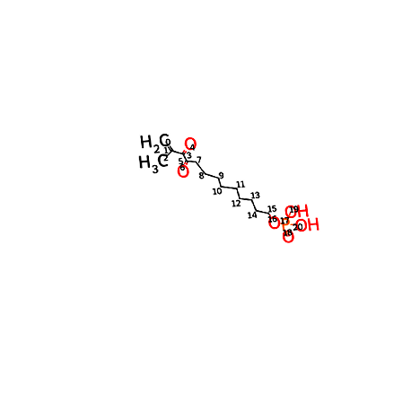 C=C(C)C(=O)C(=O)CCCCCCCCCOP(=O)(O)O